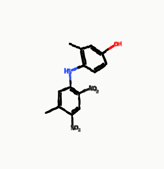 Cc1cc(O)ccc1Nc1cc(C)c([N+](=O)[O-])cc1[N+](=O)[O-]